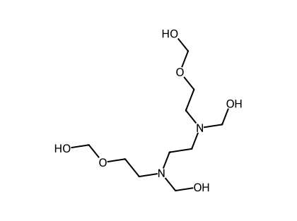 OCOCCN(CO)CCN(CO)CCOCO